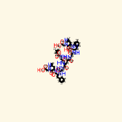 CC(C)CC(NC(=O)C(Cc1ccccc1)NC(=O)CNC(=O)C(CCC(=O)NCC(=O)NC(Cc1ccccc1)C(O)NC(CC(C)C)C(=O)NCC(=O)O)NC(=O)CNC(=O)OC(C)(C)C)C(=O)NCC(=O)O